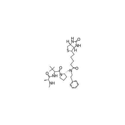 CN[C@@H](C)C(=O)N[C@H](C(=O)N1CCC[C@H]1CN(CCc1ccccc1)C(=O)CCCCC1SC[C@@H]2NC(=O)N[C@H]12)C(C)(C)C